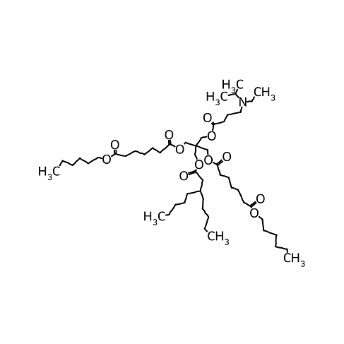 CCCCCCOC(=O)CCCCCC(=O)OCC(COC(=O)CCCCCC(=O)OCCCCCC)(COC(=O)CCCN(CC)C(C)C)COC(=O)CC(CCCCC)CCCCC